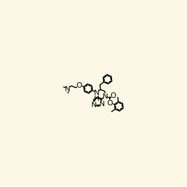 Cc1cccc(C)c1OC(=O)N(CC(Cc1ccccc1)Nc1ccc(OCCN(C)C)cc1)c1ccncn1